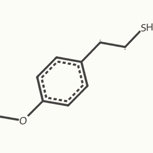 COc1ccc([CH][CH]S)cc1